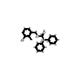 Cc1c([O])cccc1COC(=O)N(c1ccccc1)c1ccccc1